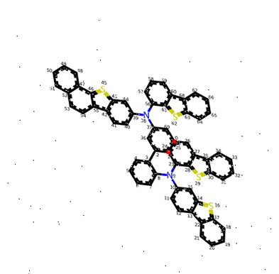 c1cc(-c2ccccc2N(c2ccc3c(c2)sc2ccccc23)c2cccc3c2sc2ccccc23)cc(N(c2ccc3c(c2)sc2c4ccccc4ccc32)c2cccc3c2sc2ccccc23)c1